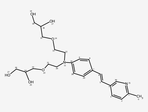 Cc1ccc(/C=C/c2ccc(N(CCOCC(O)CO)CCOCC(O)CO)cc2)cn1